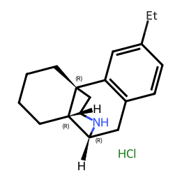 CCc1ccc2c(c1)[C@@]13CCCC[C@H]1[C@@H](C2)NCC3.Cl